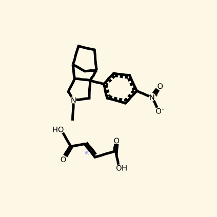 CN1CC2C3CCC(C3)C2(c2ccc([N+](=O)[O-])cc2)C1.O=C(O)/C=C/C(=O)O